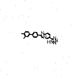 Cc1ccc(-c2ccc(-c3cn4cc(-c5nnn[nH]5)ccc4n3)cc2)cc1C